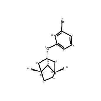 Brc1cccc(O[C@@H]2C[C@@H]3CC[C@@H](C3)C2)n1